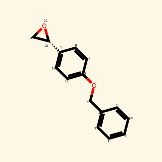 c1ccc(COc2ccc([C@@H]3CO3)cc2)cc1